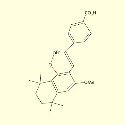 CCCOc1c(/C=C/c2ccc(C(=O)O)cc2)c(OC)cc2c1C(C)(C)CCC2(C)C